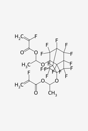 C=C(F)C(=O)OC(C)OC12C(F)(F)C3(F)C(F)(F)C(F)(C1(F)F)C(F)(F)C(OC(C)OC(=O)C(=C)F)(C3(F)F)C2(F)F